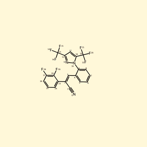 N#CC(=Cc1ccccc1-n1nc(C(F)(F)F)cc1C(F)(F)F)c1cccc(F)c1F